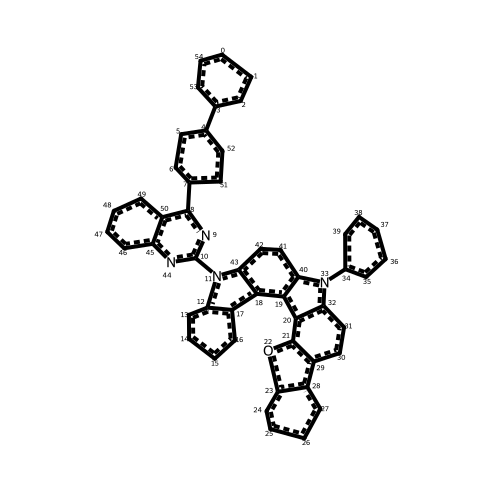 c1ccc(-c2ccc(-c3nc(-n4c5ccccc5c5c6c7c8oc9ccccc9c8ccc7n(-c7ccccc7)c6ccc54)nc4ccccc34)cc2)cc1